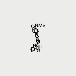 CNC(=O)c1ccc(N2CC(N3CCC(c4nc5ccccc5c(=O)[nH]4)C3)C2)cn1